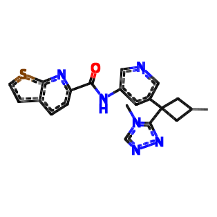 CC1CC(c2cncc(NC(=O)c3ccc4ccsc4n3)c2)(c2nncn2C)C1